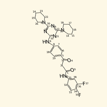 O=C(CC(=O)c1ccc(Nc2nc(N3CCCCC3)nc(N3CCCCC3)n2)cc1)Nc1ccc(F)c(F)c1